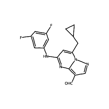 O=Cc1cnn2c(CC3CC3)cc(Nc3cc(F)cc(F)c3)nc12